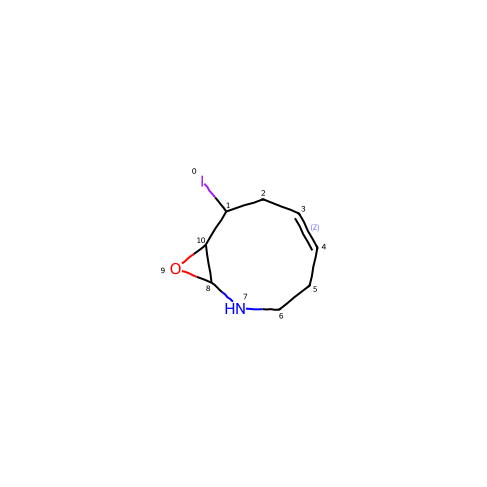 IC1C/C=C\CCNC2OC12